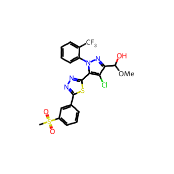 COC(O)c1nn(-c2ccccc2C(F)(F)F)c(-c2nnc(-c3cccc(S(C)(=O)=O)c3)s2)c1Cl